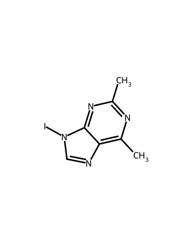 Cc1nc(C)c2ncn(I)c2n1